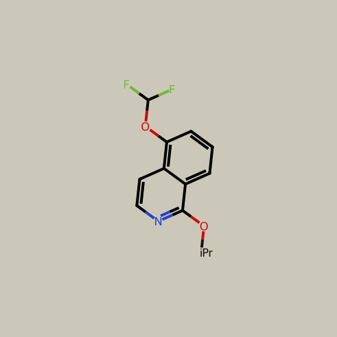 CC(C)Oc1nccc2c(OC(F)F)cccc12